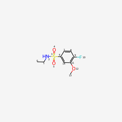 CCNS(=O)(=O)c1ccc(F)c(OC)c1